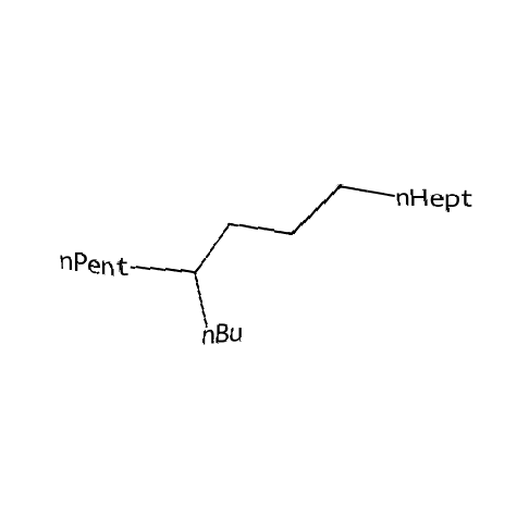 [CH2]CCCCC(CCCC)CCCCCCCCCC